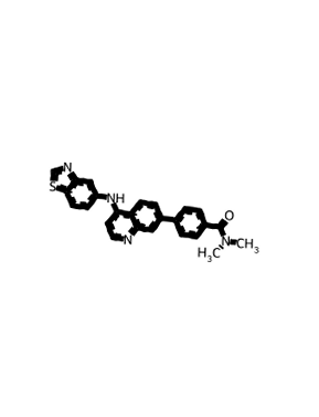 CN(C)C(=O)c1ccc(-c2ccc3c(Nc4ccc5scnc5c4)ccnc3c2)cc1